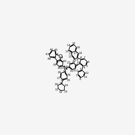 c1ccc(-c2cccc(-c3ccc4ccccc4c3)c2-c2ccc(N(c3ccc(C4CCCCC4)cc3)c3ccc4c(c3)oc3ccccc34)cc2)cc1